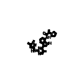 C=C(C(=O)Nc1cccc2c(-c3nc(Nc4cc(C)n(C)n4)ncc3C)c[nH]c12)N1CCCC1